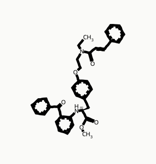 CCN(CCOc1ccc(C[C@H](Nc2ccccc2C(=O)c2ccccc2)C(=O)OC)cc1)C(=O)C=Cc1ccccc1